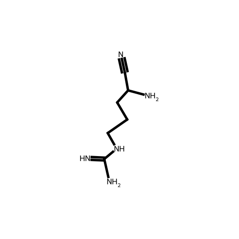 N#CC(N)CCCNC(=N)N